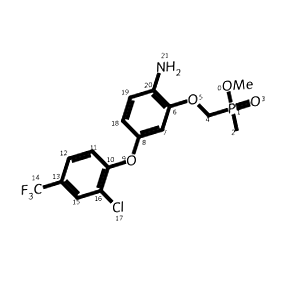 COP(C)(=O)COc1cc(Oc2ccc(C(F)(F)F)cc2Cl)ccc1N